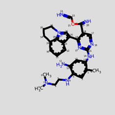 Cc1cc(NCCN(C)C)c(N)cc1Nc1ncc(C(=N)OC=N)c(-c2cn3c4c(cccc24)CCC3)n1